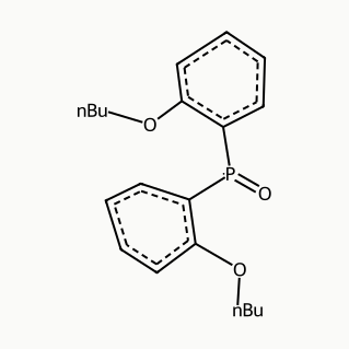 CCCCOc1ccccc1[P](=O)c1ccccc1OCCCC